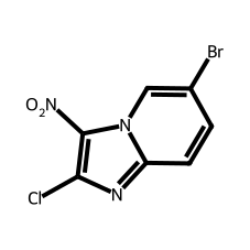 O=[N+]([O-])c1c(Cl)nc2ccc(Br)cn12